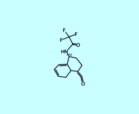 O=C=C1CC[C@H](NC(=O)C(F)(F)F)C2=CC=CCC12